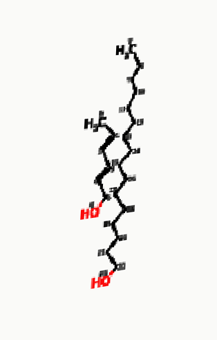 CC=CC=CCO.CCCCCCCCCCCCCCCCO